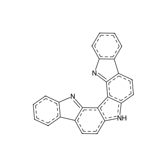 c1ccc2c(c1)N=c1c-2ccc2[nH]c3ccc4c(c3c12)=Nc1ccccc1-4